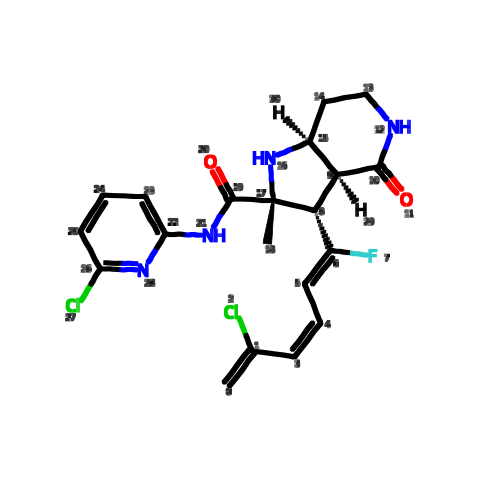 C=C(Cl)/C=C\C=C(/F)[C@H]1[C@@H]2C(=O)NCC[C@@H]2N[C@@]1(C)C(=O)Nc1cccc(Cl)n1